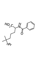 CCCC(C)(C)CCCC(NC(=O)c1ccccc1)C(=O)O